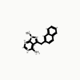 CC(C)(C)n1nc(Cc2ccc3ccccc3c2)c2c(N)ncnc21